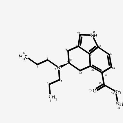 CCCN(CCC)[C@H]1Cc2c[nH]c3ccc(C(=O)NN)c(c23)C1